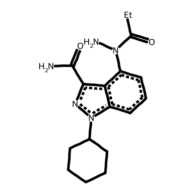 CCC(=O)N(N)c1cccc2c1c(C(N)=O)nn2C1CCCCC1